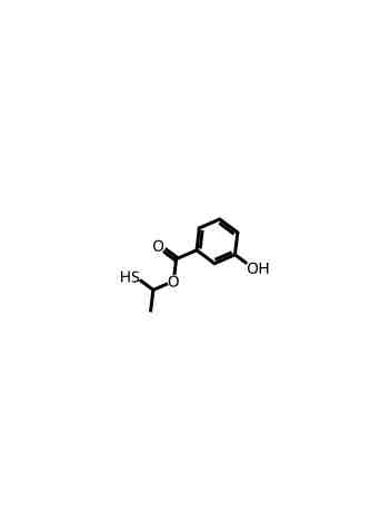 CC(S)OC(=O)c1cccc(O)c1